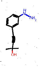 CC(C)(O)C#Cc1cccc(NN)c1